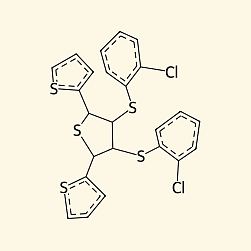 Clc1ccccc1SC1C(c2cccs2)SC(c2cccs2)C1Sc1ccccc1Cl